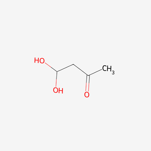 CC(=O)CC(O)O